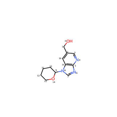 OCc1cnc2ncn(C3CCCCO3)c2c1